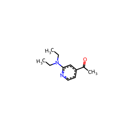 CCN(CC)c1cc(C(C)=O)ccn1